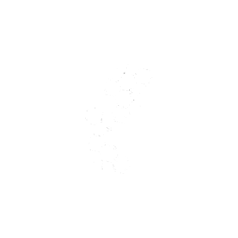 CC(C)(C)c1ccc([Si](C)(c2ccccc2)c2cccc3c2Sc2ccccc2C3(C)C)cc1-c1cccc2c1Sc1ccccc1C2(C)C